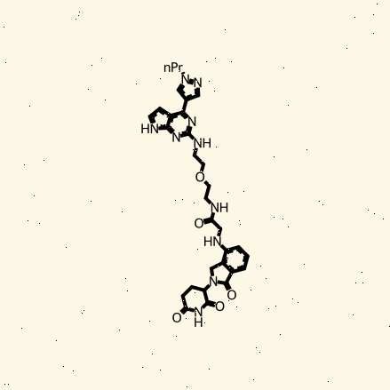 CCCn1cc(-c2nc(NCCOCCNC(=O)CNc3cccc4c3CN(C3CCC(=O)NC3=O)C4=O)nc3[nH]ccc23)cn1